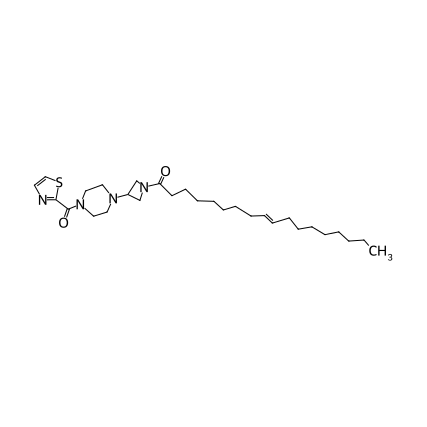 CCCCCCCCC=CCCCCCCCC(=O)N1CC(N2CCN(C(=O)c3nccs3)CC2)C1